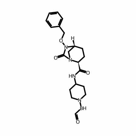 O=CBN1CCC(NC(=O)[C@@H]2CC[C@@H]3CN2C(=O)N3OCc2ccccc2)CC1